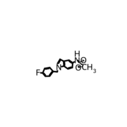 CS(=O)(=O)Nc1ccc2c(ccn2Cc2ccc(F)cc2)c1